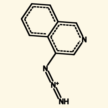 N=[N+]=Nc1cncc2ccccc12